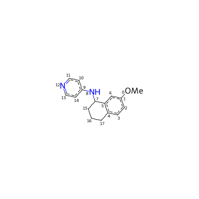 COc1ccc2c(c1)C(Nc1ccncc1)CCC2